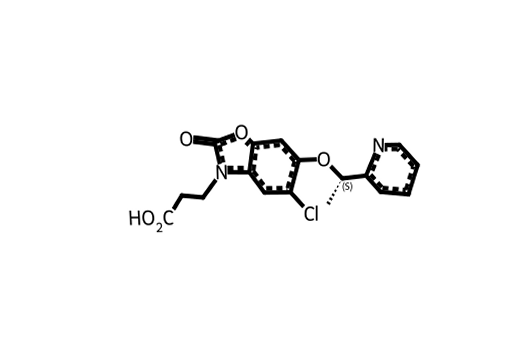 C[C@H](Oc1cc2oc(=O)n(CCC(=O)O)c2cc1Cl)c1ccccn1